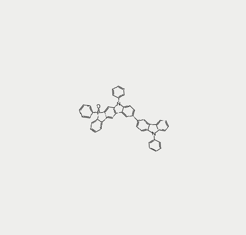 O=P1(c2ccccc2)c2ccccc2-c2cc3c4cc(-c5ccc6c(c5)c5ccccc5n6-c5ccccc5)ccc4n(-c4ccccc4)c3cc21